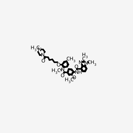 COc1cc(C(=O)N(C)c2ccc(C)cc2OCCCCCC(=O)N2CCN(C)CC2)ccc1NC(=O)c1cccc2c1nc(C)n2C